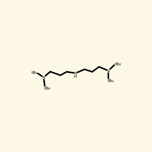 CC(C)(C)N(CCCNCCCN(C(C)(C)C)C(C)(C)C)C(C)(C)C